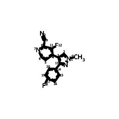 Cn1cc(-c2ccnc(C#N)c2F)c(-c2ccc(F)cc2)n1